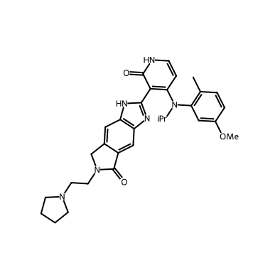 COc1ccc(C)c(N(c2cc[nH]c(=O)c2-c2nc3cc4c(cc3[nH]2)CN(CCN2CCCC2)C4=O)C(C)C)c1